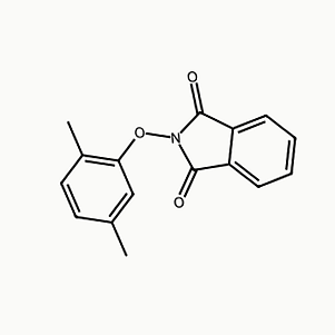 Cc1ccc(C)c(ON2C(=O)c3ccccc3C2=O)c1